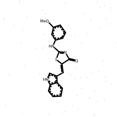 COc1cccc(NC2=NC(=O)C(=Cc3c[nH]c4ccccc34)S2)c1